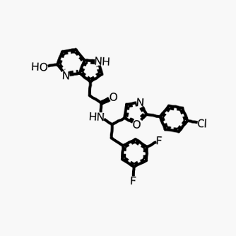 O=C(Cc1c[nH]c2ccc(O)nc12)NC(Cc1cc(F)cc(F)c1)c1cnc(-c2ccc(Cl)cc2)o1